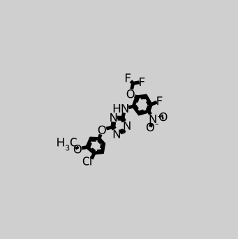 COc1cc(Oc2ncnc(Nc3cc([N+](=O)[O-])c(F)cc3OC(F)F)n2)ccc1Cl